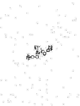 CCC1=Cc2c(-c3ccc(C(F)(F)F)cc3)cccc2[CH]1[Zr+2][CH]1C(CC)=Cc2c(-c3ccc(C(F)(F)F)cc3)cccc21.[Cl-].[Cl-]